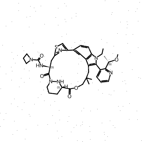 CCn1c(-c2cccnc2[C@H](C)OC)c2c3cc(ccc31)-c1csc(n1)C[C@H](NC(=O)N1CCC1)C(=O)N1CCC[C@H](N1)C(=O)OCC(C)(C)C2